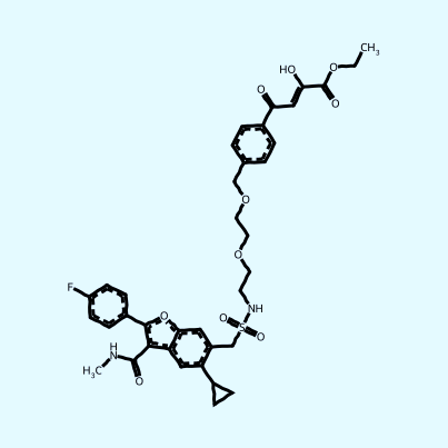 CCOC(=O)/C(O)=C/C(=O)c1ccc(COCCOCCNS(=O)(=O)Cc2cc3oc(-c4ccc(F)cc4)c(C(=O)NC)c3cc2C2CC2)cc1